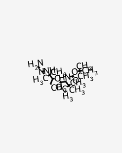 CCC(OC(=O)[C@@H](NC(=O)OC(C)(C)C)C(C)(C)C)C(C)(C)N/N=C\N